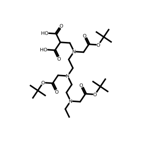 CCN(CCN(CCN(CC(=O)OC(C)(C)C)CC(C(=O)O)C(=O)O)CC(=O)OC(C)(C)C)CC(=O)OC(C)(C)C